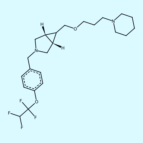 FC(F)C(F)(F)Oc1ccc(CN2C[C@@H]3C(COCCCN4CCCCC4)[C@@H]3C2)cc1